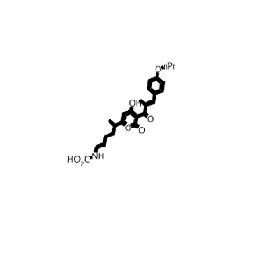 CCCOc1ccc(/C=C(\C)C(=O)c2c(O)cc(C(C)CCC=CNC(=O)O)oc2=O)cc1